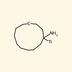 N[C]1([Ti])CCCCCCCCCCC1